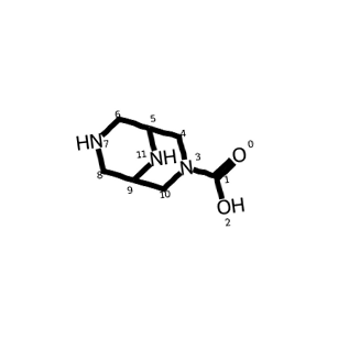 O=C(O)N1CC2CNCC(C1)N2